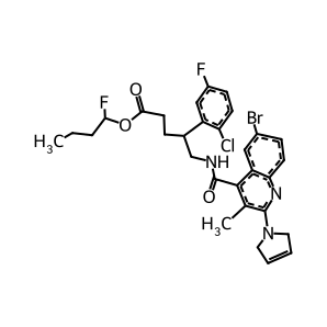 CCCC(F)OC(=O)CCC(CNC(=O)c1c(C)c(N2CC=CC2)nc2ccc(Br)cc12)c1cc(F)ccc1Cl